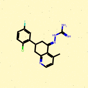 Cc1ccnc2c1C(=NNC(=N)N)CC(c1cc(F)ccc1Cl)C2